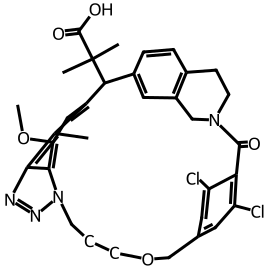 COc1cc2c(C)c3nnn(c13)CCCOCc1cc(Cl)c(c(Cl)c1)C(=O)N1CCc3ccc(cc3C1)C2C(C)(C)C(=O)O